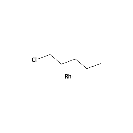 CCCCCCl.[Rh]